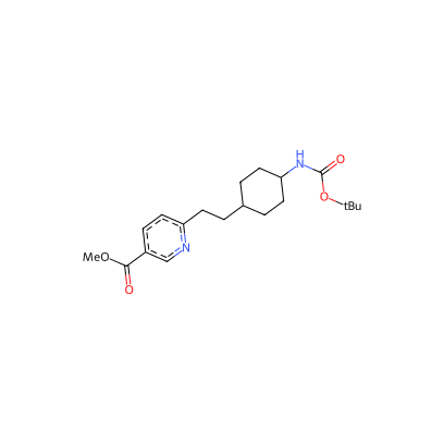 COC(=O)c1ccc(CCC2CCC(NC(=O)OC(C)(C)C)CC2)nc1